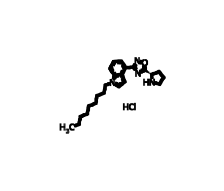 CCCCCCCCCn1ccc2c(-c3noc([C@@H]4CCCN4)n3)cccc21.Cl